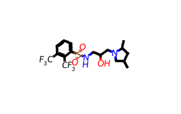 CC1CC(C)N(CC(O)CNS(=O)(=O)c2cccc(C(F)(F)F)c2C(F)(F)F)C1